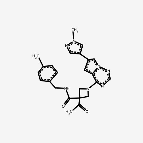 Cc1ccc(CNC(=O)C2(C(N)=O)CN(c3ncnn4cc(-c5cnn(C)c5)cc34)C2)cc1